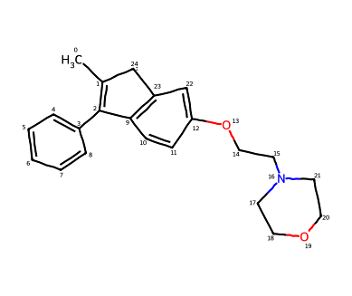 CC1=C(c2ccccc2)c2ccc(OCCN3CCOCC3)cc2[C]1